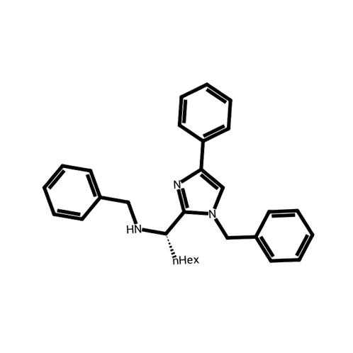 CCCCCC[C@H](NCc1ccccc1)c1nc(-c2ccccc2)cn1Cc1ccccc1